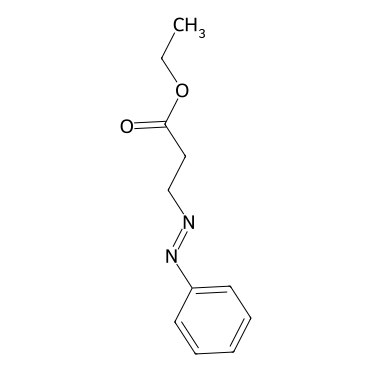 CCOC(=O)CCN=Nc1ccccc1